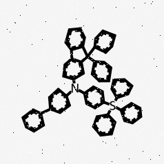 c1ccc(-c2ccc(N(c3ccc(S(c4ccccc4)(c4ccccc4)c4ccccc4)cc3)c3ccc4c(c3)C(c3ccccc3)(c3ccccc3)c3ccccc3-4)cc2)cc1